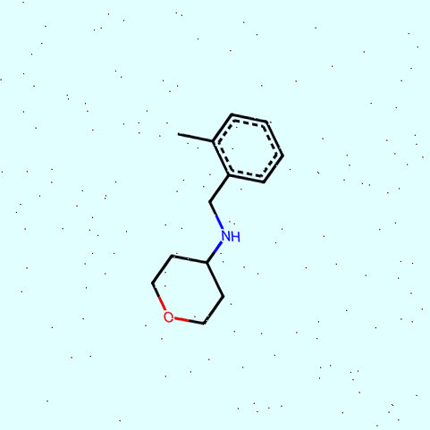 Cc1c[c]ccc1CNC1CCOCC1